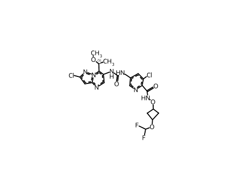 CO[C@@H](C)c1c(NC(=O)Nc2cnc(C(=O)NOC3CC(OC(F)F)C3)c(Cl)c2)cnc2cc(Cl)nn12